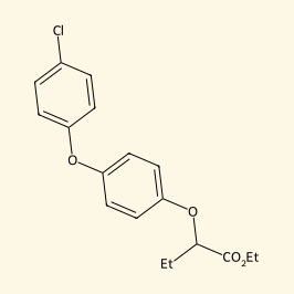 CCOC(=O)C(CC)Oc1ccc(Oc2ccc(Cl)cc2)cc1